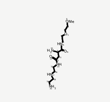 COCCOCCNC(=O)C(N)CC(=O)NCCNCCN